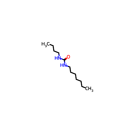 CCCCCCCNC(=O)NCCCC